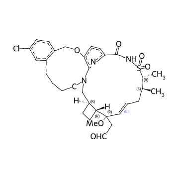 CO[C@@]1(CC=O)/C=C/C[C@H](C)[C@@H](C)S(=O)(=O)NC(=O)c2ccc3c(n2)N(CCCCc2cc(Cl)ccc2CO3)C[C@@H]2CC[C@H]21